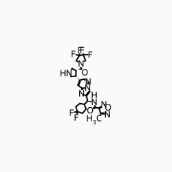 Cc1nonc1C(=O)N[C@H](c1cn2ncc([C@@H]3CNC[C@@H]3C(=O)N3CC(F)(F)C(F)(F)C3)cc2n1)C1CCC(F)(F)CC1